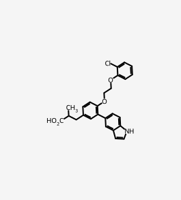 CC(Cc1ccc(OCCOc2ccccc2Cl)c(-c2ccc3[nH]ccc3c2)c1)C(=O)O